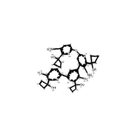 Nc1ccc(Oc2cc(-c3cc(-c4ccc(N)c(C5(O)CCC5)n4)nc(C4(O)CCC4)c3N)c(N)c(C3(O)CCC3)n2)nc1C1(O)CCC1